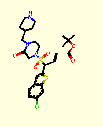 C=CC(c1cc2ccc(Cl)cc2s1)S(=O)(=O)N1CCN(CC2CCNCC2)C(=O)C1.CC(C)(C)OC=O